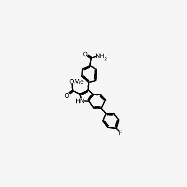 COC(=O)c1[nH]c2cc(-c3ccc(F)cc3)ccc2c1-c1ccc(C(N)=O)cc1